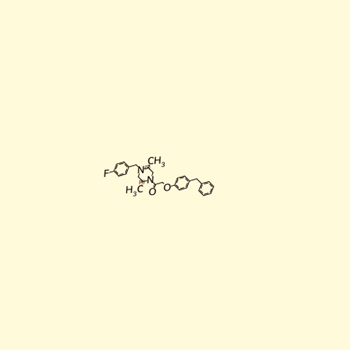 C[C@@H]1CN(Cc2ccc(F)cc2)[C@@H](C)CN1C(=O)COc1ccc(Cc2ccccc2)cc1